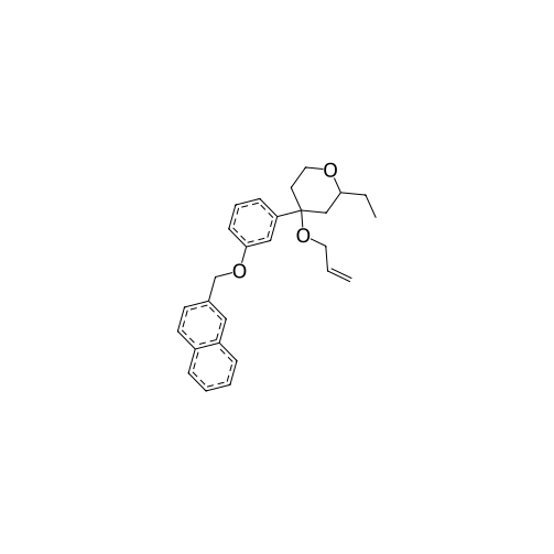 C=CCOC1(c2cccc(OCc3ccc4ccccc4c3)c2)CCOC(CC)C1